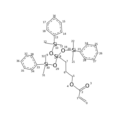 C=CC(=O)OCCC[Si](O[Si](C)(C)c1ccccc1)(O[Si](C)(C)c1ccccc1)O[Si](C)(C)c1ccccc1